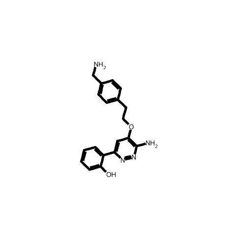 NCc1ccc(CCOc2cc(-c3ccccc3O)nnc2N)cc1